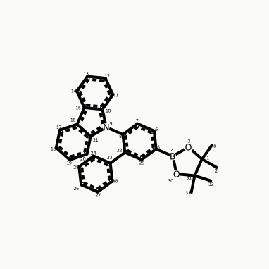 CC1(C)OB(c2ccc(-n3c4ccccc4c4ccccc43)c(-c3ccccc3)c2)OC1(C)C